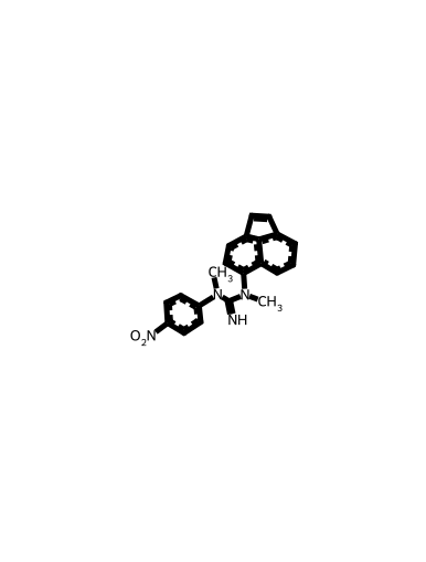 CN(C(=N)N(C)c1ccc2c3c(cccc13)C=C2)c1ccc([N+](=O)[O-])cc1